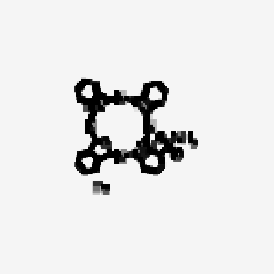 NS(=O)(=O)c1cccc2c3nc4nc(nc5[nH]c(nc6nc(nc([nH]3)c12)-c1ccccc1-6)c1ccccc51)-c1ccccc1-4.[Fe]